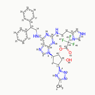 Cc1nnn([C@H]2C[C@@H](n3cnc4c(NCC(c5ccccc5)c5ccccc5)nc(NCCc5c[nH]cn5)nc43)[C@H](OC(=O)C(F)(F)F)[C@@H]2O)n1